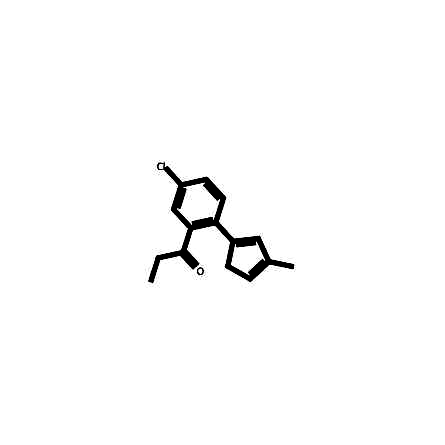 CCC(=O)c1cc(Cl)ccc1C1=CC(C)=CC1